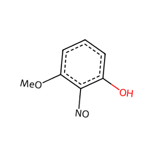 COc1cccc(O)c1N=O